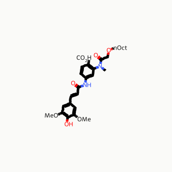 CCCCCCCCOCC(=O)N(C)c1cc(NC(=O)C=Cc2cc(OC)c(O)c(OC)c2)ccc1C(=O)O